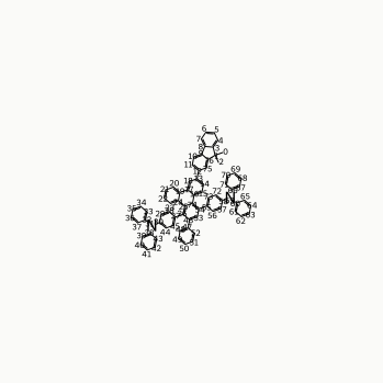 CC1(C)c2ccccc2-c2ccc(-c3ccc4c(c3)c3ccccc3c3c(-c5ccc(N(c6ccccc6)c6ccccc6)cc5)c(-c5ccccc5)cc(-c5ccc(N(c6ccccc6)c6ccccc6)cc5)c43)cc21